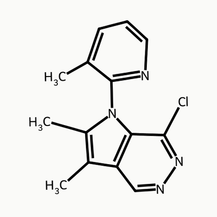 Cc1cccnc1-n1c(C)c(C)c2cnnc(Cl)c21